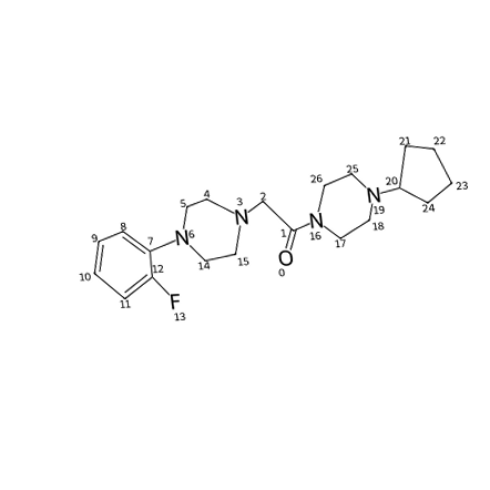 O=C(CN1CCN(c2ccccc2F)CC1)N1CCN(C2CCCC2)CC1